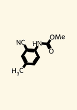 COC(=O)Nc1ccc(C)cc1C#N